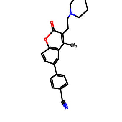 Cc1c(CCN2CCCCC2)c(=O)oc2ccc(-c3ccc(C#N)cc3)cc12